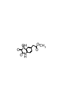 COC(=O)Cc1ccc2[nH]c(=O)c(=O)n(O)c2c1